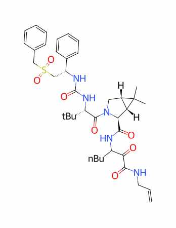 C=CCNC(=O)C(=O)C(CCCC)NC(=O)[C@@H]1[C@@H]2[C@H](CN1C(=O)[C@@H](NC(=O)N[C@H](CS(=O)(=O)Cc1ccccc1)c1ccccc1)C(C)(C)C)C2(C)C